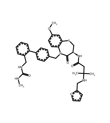 CNC(=O)NCc1ccccc1-c1ccc(CN2C(=O)[C@H](NC(=O)CC(C)(C)NCc3ccco3)CSc3cc(OC)ccc32)cc1